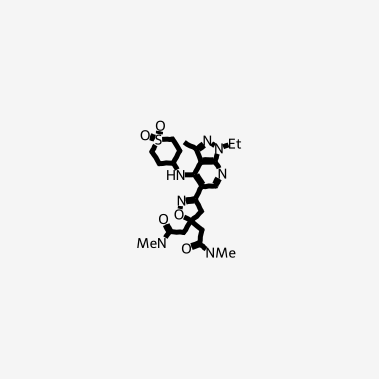 CCn1nc(C)c2c(NC3CCS(=O)(=O)CC3)c(C3=NOC(CC(=O)NC)(CC(=O)NC)C3)cnc21